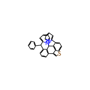 c1ccc(C2c3cccc4c3C3(c5c(ccc6scc-4c56)-c4cccc[n+]43)[n+]3ccccc32)cc1